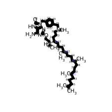 COCCOc1nc(N)c2[nH]c(=O)n(Cc3ccc(CN(C)CCC/C(C)=C/CC/C(C)=C/CC/C=C(\C)CC/C=C(\C)CCC=C(C)C)cc3)c2n1